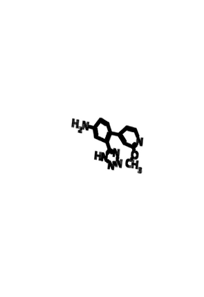 COc1cc(-c2ccc(N)cc2-c2nnn[nH]2)ccn1